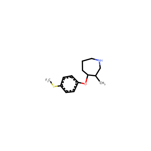 CC1CNCCCC1Oc1ccc(SC(F)(F)F)cc1